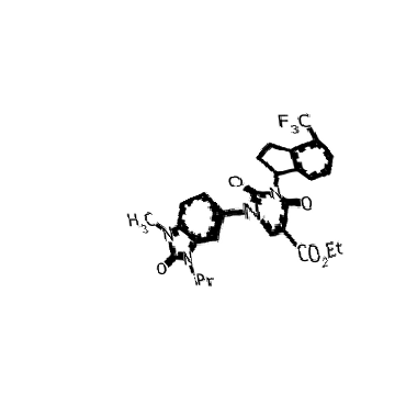 CCOC(=O)c1cn(-c2ccc3c(c2)n(C(C)C)c(=O)n3C)c(=O)n(C2CCc3c2cccc3C(F)(F)F)c1=O